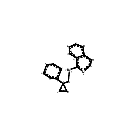 c1ccc(C2(CNc3nccc4ccccc34)CC2)cc1